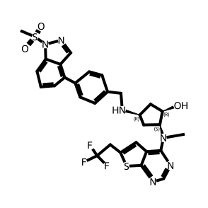 CN(c1ncnc2sc(CC(F)(F)F)cc12)[C@H]1C[C@@H](NCc2ccc(-c3cccc4c3cnn4S(C)(=O)=O)cc2)C[C@H]1O